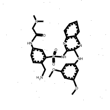 COc1cc(Nc2nc3ccccc3nc2NS(=O)(=O)c2cc(NC(=O)CN(C)C)ccc2CN)cc(OC)c1